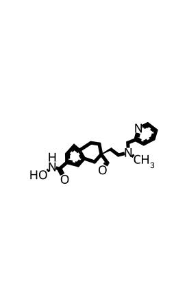 CN(CC[C@]1(C=O)CCc2ccc(C(=O)NO)cc2C1)Cc1ccccn1